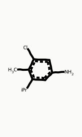 Cc1c(Cl)cc(N)cc1C(C)C